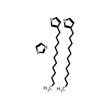 CCCCCCCCCCCCc1ccsc1.CCCCCCCCCCCCc1ccsc1.c1cscn1